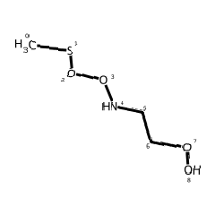 CSOONCCOO